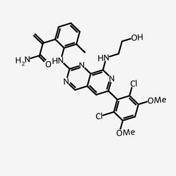 C=C(C(N)=O)c1cccc(C)c1Nc1ncc2cc(-c3c(Cl)c(OC)cc(OC)c3Cl)nc(NCCO)c2n1